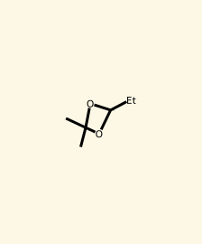 CC[C]1OC(C)(C)O1